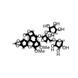 COc1cc2c(O[C@@H]3OC[C@](O)(CO[C@@H]4OC[C@@H](O)[C@H](O)[C@H]4O)[C@H]3O[C@@H]3OC[C@@H](O)[C@H](O)[C@H]3O)c3c(c(-c4cc5c(cc4O)OCO5)c2cc1OC)C(=O)OC3